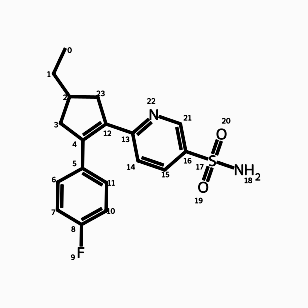 CCC1CC(c2ccc(F)cc2)=C(c2ccc(S(N)(=O)=O)cn2)C1